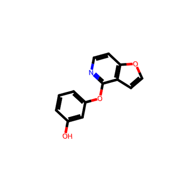 Oc1cccc(Oc2nccc3occc23)c1